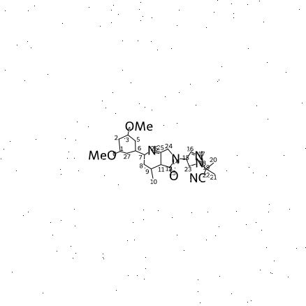 COC1CC(OC)CC(C2CC(C)C3C(=O)N(C4C=NN(C(C)(C)C#N)C4)CC3=N2)C1